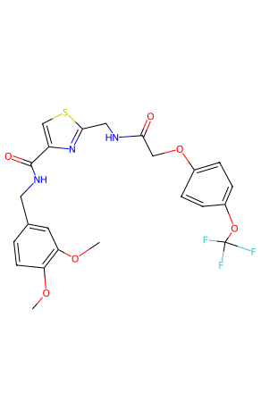 COc1ccc(CNC(=O)c2csc(CNC(=O)COc3ccc(OC(F)(F)F)cc3)n2)cc1OC